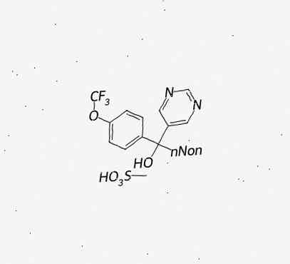 CCCCCCCCCC(O)(c1ccc(OC(F)(F)F)cc1)c1cncnc1.CS(=O)(=O)O